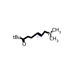 CN(C)C/C=C/CCC(=O)C(C)(C)C